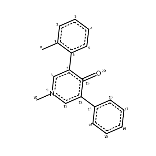 Cc1ccccc1-c1cn(C)cc(-c2ccccc2)c1=O